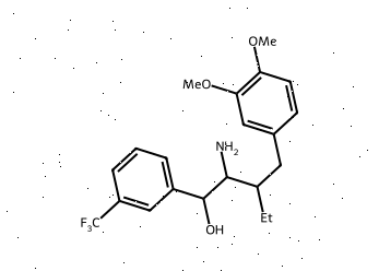 CCC(Cc1ccc(OC)c(OC)c1)C(N)C(O)c1cccc(C(F)(F)F)c1